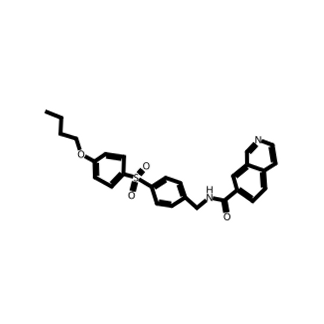 CCCCOc1ccc(S(=O)(=O)c2ccc(CNC(=O)c3ccc4ccncc4c3)cc2)cc1